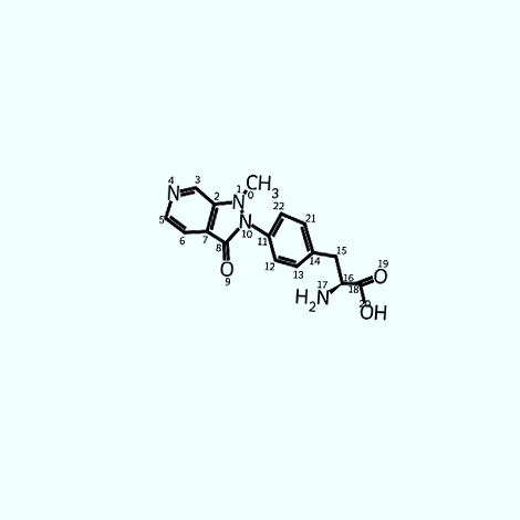 Cn1c2cnccc2c(=O)n1-c1ccc(C[C@H](N)C(=O)O)cc1